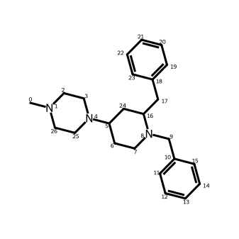 CN1CCN(C2CCN(Cc3ccccc3)C(Cc3ccccc3)C2)CC1